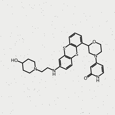 O=c1cc(N2CCOC(c3cccc4c3Sc3ccc(NCCN5CCC(O)CC5)cc3S4)C2)cc[nH]1